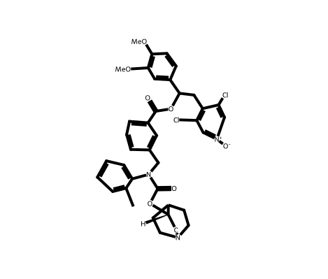 COc1ccc(C(Cc2c(Cl)c[n+]([O-])cc2Cl)OC(=O)c2cccc(CN(C(=O)O[C@H]3CN4CCC3CC4)c3ccccc3C)c2)cc1OC